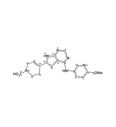 COc1ccc(Nc2ncnc3[nH]c(C4=CCN(C(=O)O)CC4)cc23)cn1